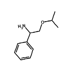 CC(C)OCC(N)c1ccccc1